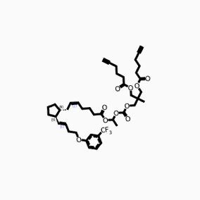 C#CCCCC(=O)OCC(C)(COC(=O)CCCC#C)COC(=O)OC(C)OC(=O)CCC/C=C\C[C@H]1CCC[C@@H]1/C=C/CCOc1cccc(C(F)(F)F)c1